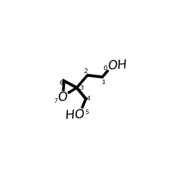 OCCC1(CO)CO1